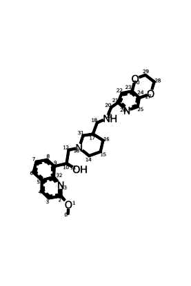 COc1ccc2cccc(C(O)CN3CCCC(CNCc4cc5c(cn4)OCCO5)C3)c2n1